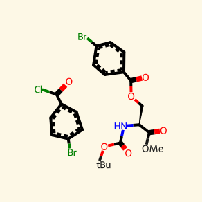 COC(=O)[C@H](COC(=O)c1ccc(Br)cc1)NC(=O)OC(C)(C)C.O=C(Cl)c1ccc(Br)cc1